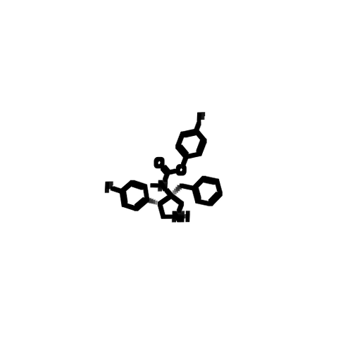 CN(C(=O)Oc1ccc(F)cc1)[C@@]1(Cc2ccccc2)CNC[C@@H]1c1ccc(F)cc1